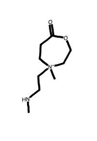 CNCC[N+]1(C)CCOC(=O)CC1